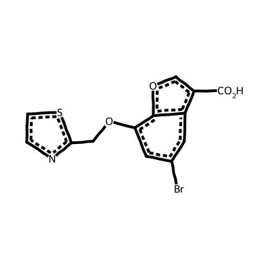 O=C(O)c1coc2c(OCc3nccs3)cc(Br)cc12